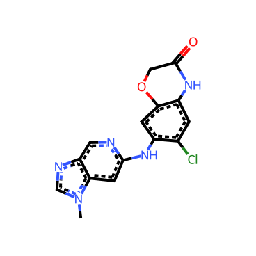 Cn1cnc2cnc(Nc3cc4c(cc3Cl)NC(=O)CO4)cc21